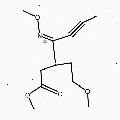 CC#C/C(=N\OC)C(CCOC)CC(=O)OC